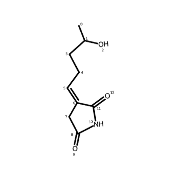 CC(O)CCC=C1CC(=O)NC1=O